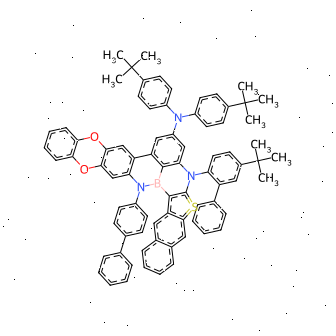 CC(C)(C)c1ccc(N(c2ccc(C(C)(C)C)cc2)c2cc3c4c(c2)N(c2ccc(C(C)(C)C)cc2-c2ccccc2)c2sc5cc6ccccc6cc5c2B4N(c2ccc(-c4ccccc4)cc2)c2cc4c(cc2-3)Oc2ccccc2O4)cc1